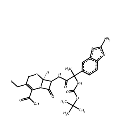 CC(C)(C)OC(=O)NC(N)(C(=O)NC1C(=O)N2C(C(=O)O)=C(CI)CS[C@@H]12)c1ccc2nc(N)sc2c1